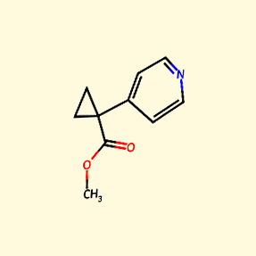 COC(=O)C1(c2ccncc2)CC1